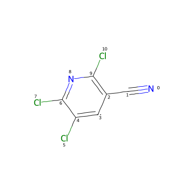 N#Cc1[c]c(Cl)c(Cl)nc1Cl